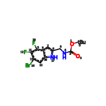 CC(C)(C)OC(=O)NCc1cc2c(F)c(F)c(Br)cc2[nH]1